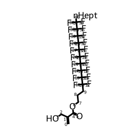 C=C(CO)C(=O)OCCCC(F)(F)C(F)(F)C(F)(F)C(F)(F)C(F)(F)C(F)(F)C(F)(F)C(F)(F)C(F)(F)C(F)(F)CCCCCCC